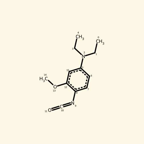 CCN(CC)c1ccc(N=C=O)c(OC)c1